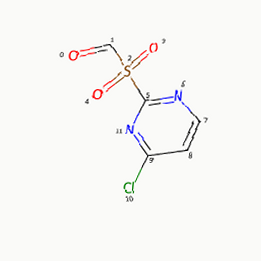 O=CS(=O)(=O)c1nccc(Cl)n1